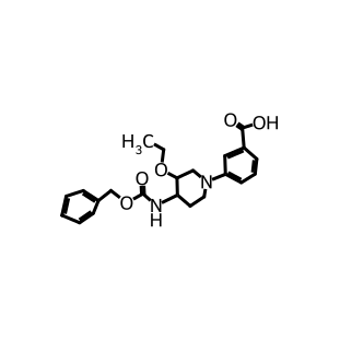 CCOC1CN(c2cccc(C(=O)O)c2)CCC1NC(=O)OCc1ccccc1